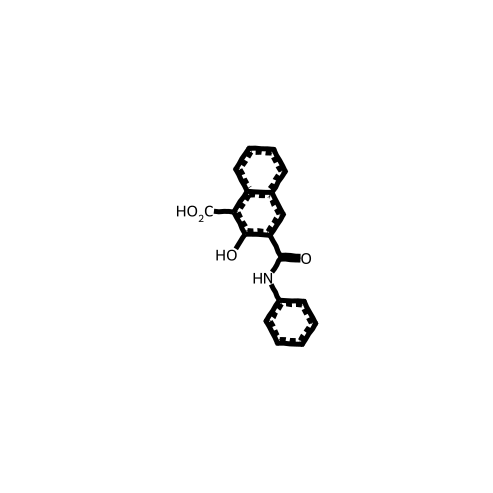 O=C(Nc1ccccc1)c1cc2ccccc2c(C(=O)O)c1O